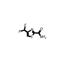 NC(=O)c1nc(C(F)F)cs1